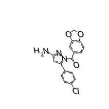 Nc1cc(-c2ccc(Cl)cc2)n(C(=O)c2ccc3c(c2)OCO3)n1